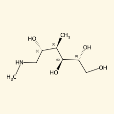 CNC[C@H](O)[C@@H](C)[C@H](O)[C@H](O)CO